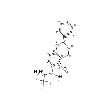 CC(C)(C)C(N)C(O)c1ccc2c([n+]1[O-])COC(c1ccccc1)O2